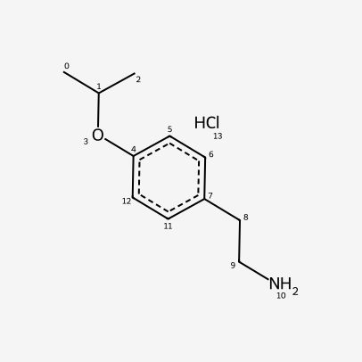 CC(C)Oc1ccc(CCN)cc1.Cl